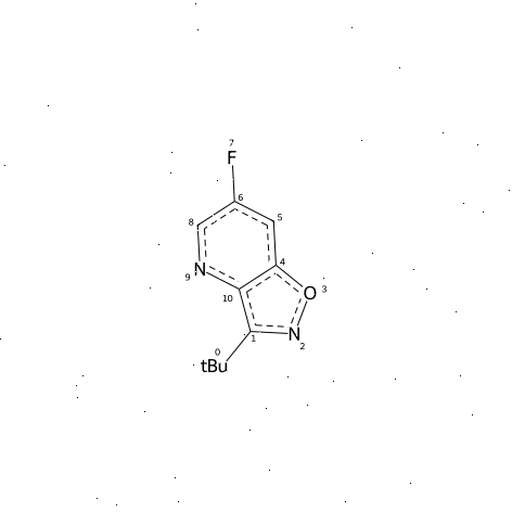 CC(C)(C)c1noc2cc(F)cnc12